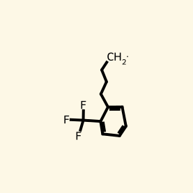 [CH2]CCCc1ccccc1C(F)(F)F